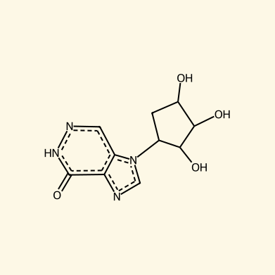 O=c1[nH]ncc2c1ncn2C1CC(O)C(O)C1O